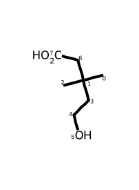 CC(C)(CCO)CC(=O)O